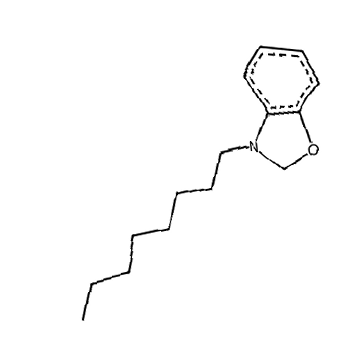 CCCCCCCCN1COc2ccccc21